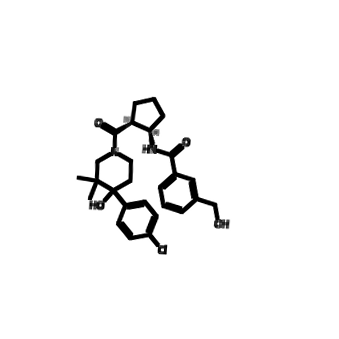 CC1(C)CN(C(=O)[C@H]2CCC[C@H]2NC(=O)c2cccc(CO)c2)CCC1(O)c1ccc(Cl)cc1